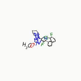 COc1nc(N2CC3CCC(C2)N3)c2cnc(-c3cccc4ccc(F)c(Cl)c34)c(F)c2n1